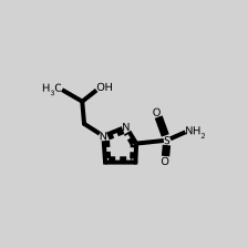 CC(O)Cn1ccc(S(N)(=O)=O)n1